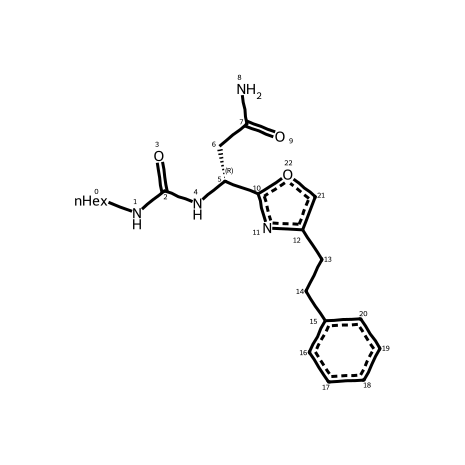 CCCCCCNC(=O)N[C@H](CC(N)=O)c1nc(CCc2ccccc2)co1